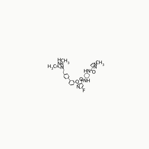 C[C@@H]1CN(CCc2ccc(-c3cccc(Oc4ncc(F)cc4C(=O)N[C@H]4CC[C@@H](NC(=O)c5ccn(C)n5)CC4)c3)cc2)C[C@H](C)N1